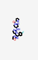 O=C([C@@H]1CCCN1)N1CCC(Nc2nccc(-c3c(-c4ccc(F)cc4)nc4occn34)n2)CC1